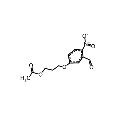 CC(=O)OCCCOc1ccc([N+](=O)[O-])c(C=O)c1